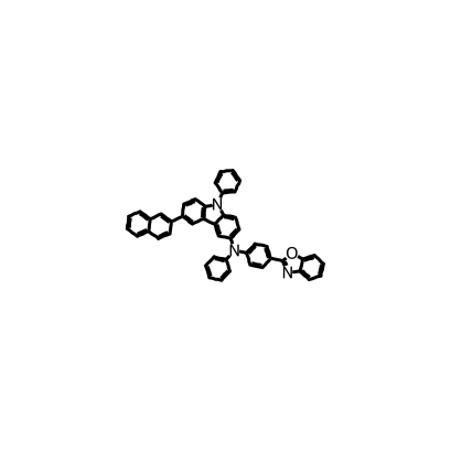 c1ccc(N(c2ccc(-c3nc4ccccc4o3)cc2)c2ccc3c(c2)c2cc(-c4ccc5ccccc5c4)ccc2n3-c2ccccc2)cc1